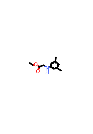 CCOC(=O)CNc1cc(C)cc(C)c1